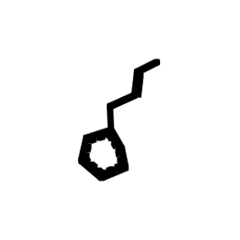 CC=CCc1ccccc1